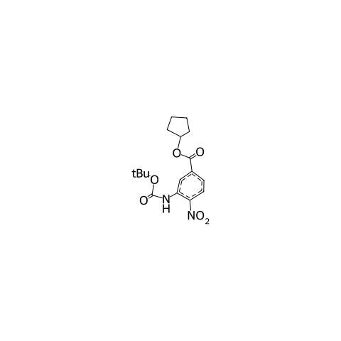 CC(C)(C)OC(=O)Nc1cc(C(=O)OC2CCCC2)ccc1[N+](=O)[O-]